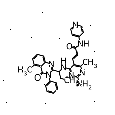 CCC(Nc1nc(N)nc(C)c1/C=C/C(=O)Nc1ccncc1)c1nc2cccc(C)c2c(=O)n1-c1ccccc1